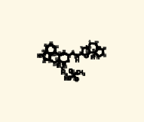 CN1C[C@H](CN[C@H]2CN3CCN4CCC[C@H]4C3O2)C=C2c3cccc4[nH]cc(c34)C[C@H]21.CS(=O)(=O)O